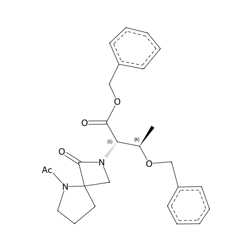 CC(=O)N1CCCC12CN([C@H](C(=O)OCc1ccccc1)[C@@H](C)OCc1ccccc1)C2=O